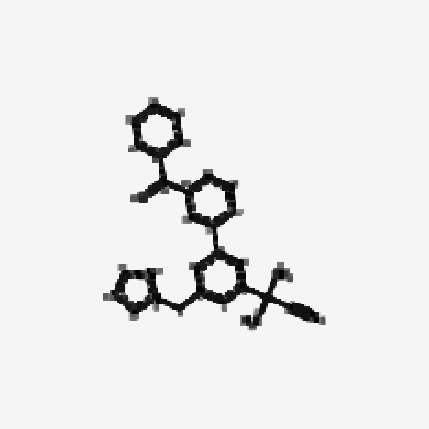 CC(C)(C#N)c1cc(Cn2cncn2)cc(-c2cccc(C(=O)c3ccccc3)c2)c1